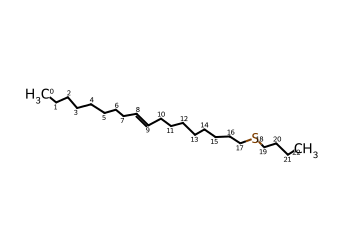 CCCCCCCC/C=C/CCCCCCCCSCCCC